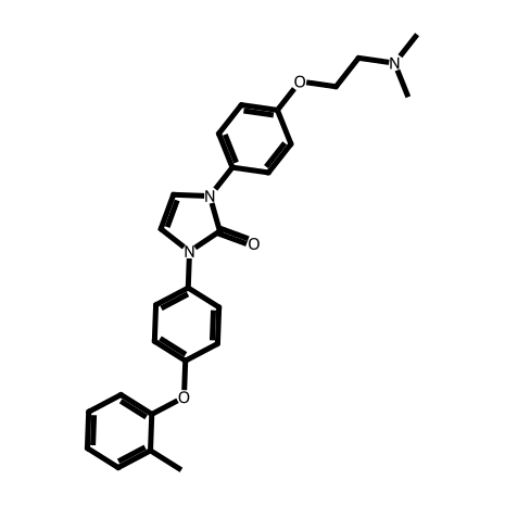 Cc1ccccc1Oc1ccc(-n2ccn(-c3ccc(OCCN(C)C)cc3)c2=O)cc1